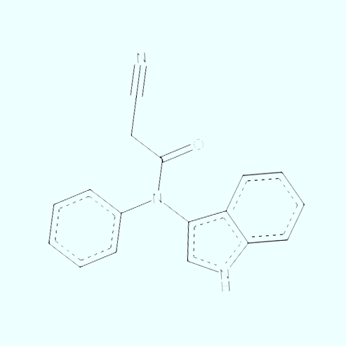 N#CCC(=O)N(c1ccccc1)c1c[nH]c2ccccc12